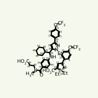 CC[N+]1(CC)N=C(c2ccc(OC(F)(F)F)cc2)C=C1C(=O)O.CCn1nc(-c2ccc(OC(F)(F)F)cc2)cc1C(Nc1ccc(C(=O)N(C)CCC(=O)O)cc1)C1CCCCC1